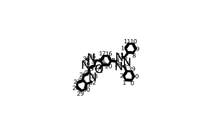 c1ccc(-c2nc(-c3ccccc3)nc(-c3ccc4c(c3)oc3c(-c5cc6ccccc6cn5)ncnc34)n2)cc1